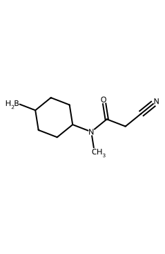 BC1CCC(N(C)C(=O)CC#N)CC1